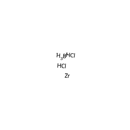 B.Cl.Cl.[Zr]